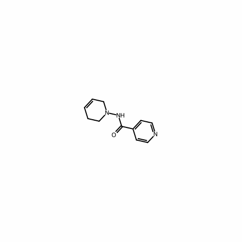 O=C(NN1CC=CCC1)c1ccncc1